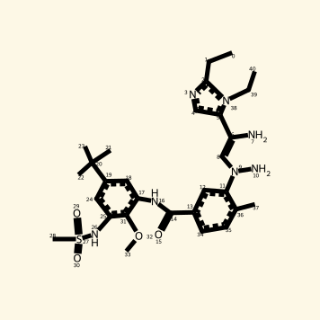 CCc1ncc(/C(N)=C/N(N)c2cc(C(=O)Nc3cc(C(C)(C)C)cc(NS(C)(=O)=O)c3OC)ccc2C)n1CC